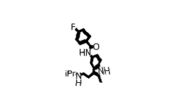 Cc1[nH]c2ccc(NC(=O)c3ccc(F)cc3)cc2c1CCNC(C)C